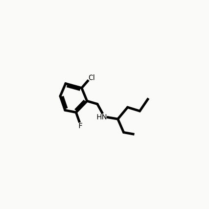 CCCC(CC)NCc1c(F)cccc1Cl